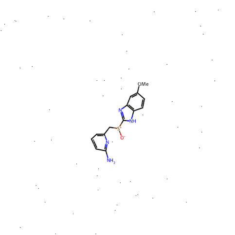 COc1ccc2[nH]c([S+]([O-])Cc3cccc(N)n3)nc2c1